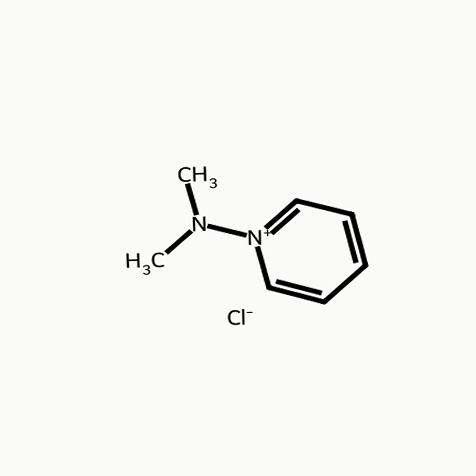 CN(C)[n+]1ccccc1.[Cl-]